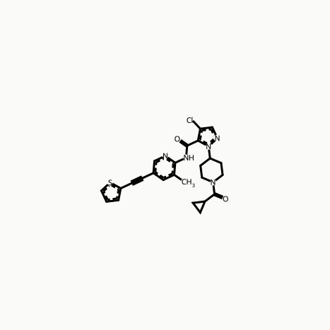 Cc1cc(C#Cc2cccs2)cnc1NC(=O)c1c(Cl)cnn1C1CCN(C(=O)C2CC2)CC1